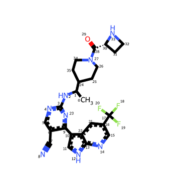 CC(Nc1ncc(C#N)c(-c2c[nH]c3ncc(C(F)(F)F)cc23)n1)C1CCN(C(=O)[C@H]2CCN2)CC1